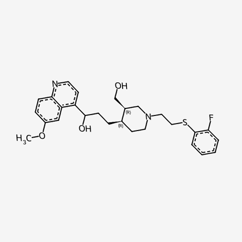 COc1ccc2nccc(C(O)CC[C@@H]3CCN(CCSc4ccccc4F)C[C@@H]3CO)c2c1